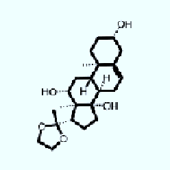 CC1([C@H]2CC[C@]3(O)[C@@H]4CC=C5C[C@@H](O)CC[C@]5(C)[C@H]4C[C@@H](O)[C@]23C)OCCO1